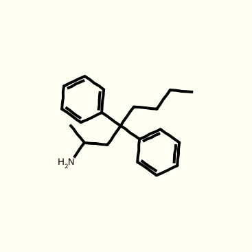 CCCCC(CC(C)N)(c1ccccc1)c1ccccc1